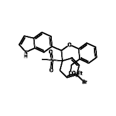 CCOC(=O)Cc1ccccc1OC(c1ccc2cc[nH]c2c1)C1(S(C)(=O)=O)C=CC(Br)=CC1